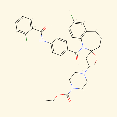 CCOC(=O)N1CCN(CCC2(OC)CCCc3cc(Cl)ccc3N2C(=O)c2ccc(NC(=O)c3ccccc3Cl)cc2)CC1